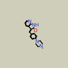 CN1CCN(c2ccc(C=C3C(=O)Nc4ncccc43)cc2)CC1